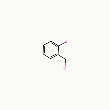 [O]Cc1ccccc1I